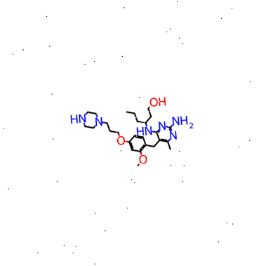 CCC[C@@H](CCO)Nc1nc(N)nc(C)c1Cc1ccc(OCCCN2CCNCC2)cc1OC